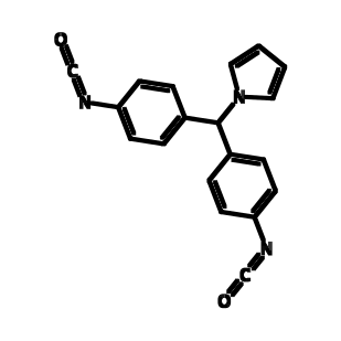 O=C=Nc1ccc(C(c2ccc(N=C=O)cc2)n2cccc2)cc1